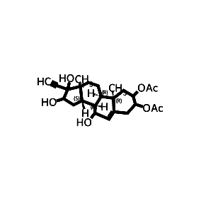 C#CC1(O)C(O)C[C@H]2[C@@H]3C(O)C=C4CC(OC(C)=O)C(OC(C)=O)C[C@]4(C)[C@@H]3CC[C@@]21C